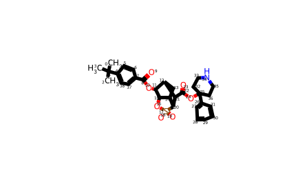 CC(C)(C)c1ccc(C(=O)OC2C3CC4C2OS(=O)(=O)C4C3C(=O)OC2(c3ccccc3)CCNCC2)cc1